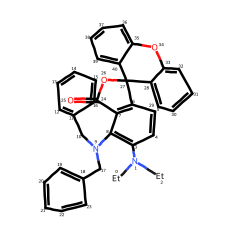 CCN(CC)c1ccc2c(c1N(Cc1ccccc1)Cc1ccccc1)C(=O)OC21c2ccccc2Oc2ccccc21